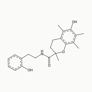 Cc1c(C)c2c(c(C)c1O)CCC(C)(C(=O)NCCc1ccccc1O)O2